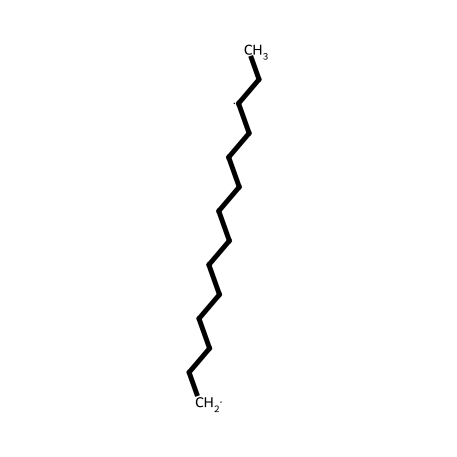 [CH2]CCCCCCCCCC[CH]CC